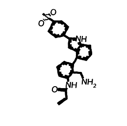 C=CC(=O)Nc1cccc(-c2cccc3[nH]c(-c4ccc(S(C)(=O)=O)cc4)cc23)c1CN